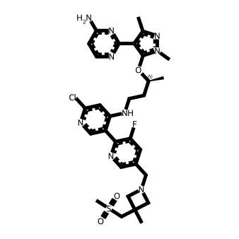 Cc1nn(C)c(O[C@@H](C)CCNc2cc(Cl)ncc2-c2ncc(CN3CC(C)(CS(C)(=O)=O)C3)cc2F)c1-c1nccc(N)n1